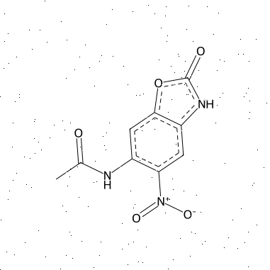 CC(=O)Nc1cc2oc(=O)[nH]c2cc1[N+](=O)[O-]